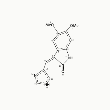 COc1cc2c(cc1OC)C(=Cc1c[nH]cn1)C(=O)N2